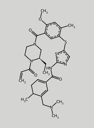 C=CC(=O)N1CCN(C(=O)c2cc(Sc3cnc(NC(=O)C4=CCC(C)C(CN(C)C)=C4)s3)c(C)cc2OC)C[C@H]1CC